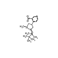 C[C@H]1CC(c2ccncc2[N+](=O)[O-])C[C@@H](O[Si](C)(C)C(C)(C)C)C1